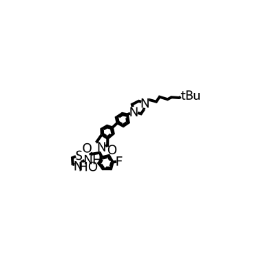 CC(C)(C)CCCCCCN1CCN(c2ccc(-c3ccc4c(c3)C(=O)N(C(C(=O)NC3=NCCS3)c3cc(F)ccc3O)C4)cc2)CC1